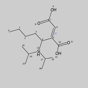 CCCCC(/C(=C\C(=O)O)C(=O)O)[SiH](C(C)C)C(C)C